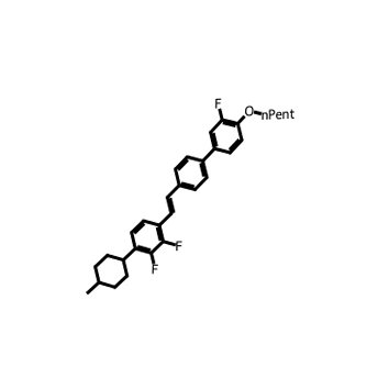 CCCCCOc1ccc(-c2ccc(/C=C/c3ccc(C4CCC(C)CC4)c(F)c3F)cc2)cc1F